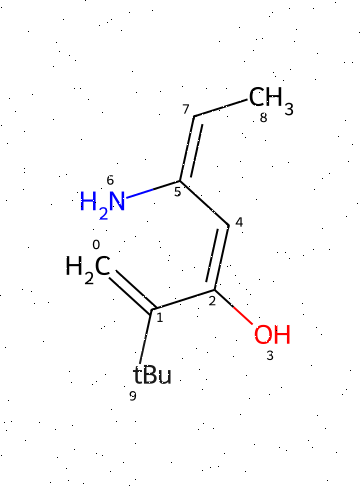 C=C(/C(O)=C\C(N)=C/C)C(C)(C)C